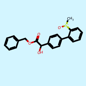 C[S+]([O-])c1ccccc1-c1ccc(C(O)C(=O)OCc2ccccc2)cc1